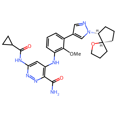 COc1c(Nc2cc(NC(=O)C3CC3)nnc2C(N)=O)cccc1-c1cnn([C@@H]2CCC[C@@]23CCCO3)c1